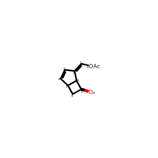 CC(=O)OC=C1C=CC2CC(=O)C12